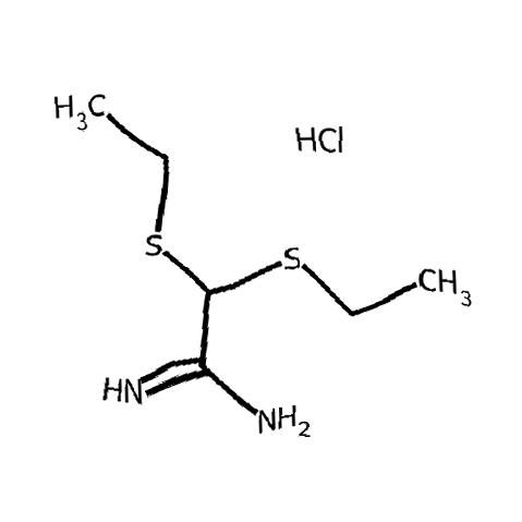 CCSC(SCC)C(=N)N.Cl